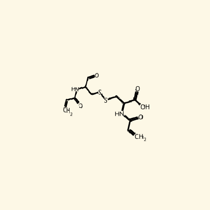 C=CC(=O)NC(C=O)CSSCC(NC(=O)C=C)C(=O)O